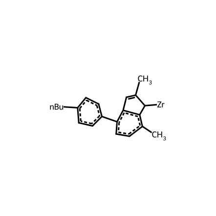 CCCCc1ccc(-c2ccc(C)c3c2C=C(C)[CH]3[Zr])cc1